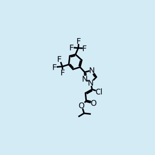 CC(C)OC(=O)C=C(Cl)n1cnc(-c2cc(C(F)(F)F)cc(C(F)(F)F)c2)n1